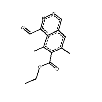 CCOC(=O)c1c(C)cc2cnnc(C=O)c2c1C